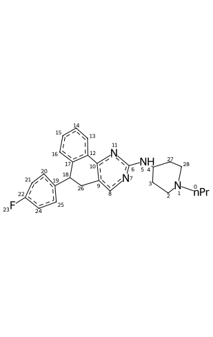 CCCN1CCC(Nc2ncc3c(n2)-c2ccccc2C(c2ccc(F)cc2)C3)CC1